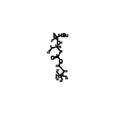 CC(C)(C)[Si](C)(C)O[C@H](CI)CC(=O)OCC[SH](C)(C)(C)C